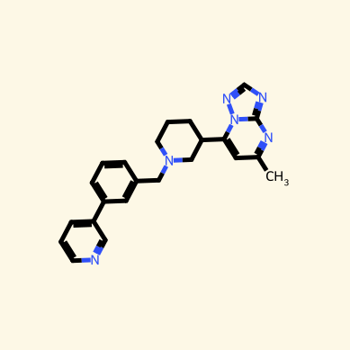 Cc1cc(C2CCCN(Cc3cccc(-c4cccnc4)c3)C2)n2ncnc2n1